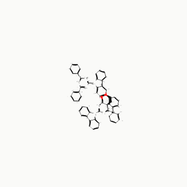 C1=CCC2(c3nc(-n4c5ccccc5c5ccccc54)nc4ccccc34)C(=C1)Oc1ccc(-c3ccc4c(c3)c3ccccc3n4-c3nc(-c4ccccc4)nc(-c4ccccc4)n3)cc12